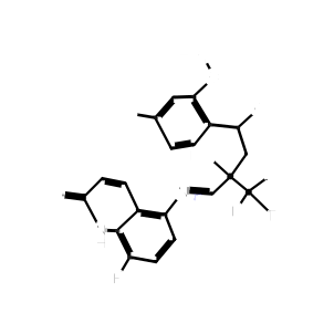 COc1cc(F)ccc1C(C)CC(O)(/C=N/c1ccc(F)c2[nH]c(=O)ccc12)C(F)(F)F